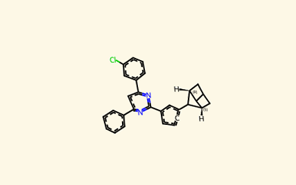 Clc1cccc(-c2cc(-c3ccccc3)nc(-c3cccc(C4[C@H]5CC6C[C@@H]4C65)c3)n2)c1